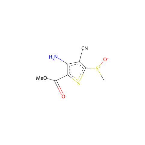 COC(=O)c1sc([S+](C)[O-])c(C#N)c1N